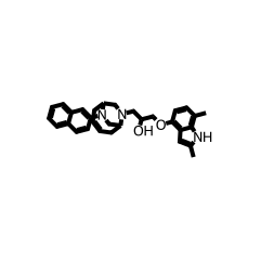 Cc1cc2c(OCC(O)CN3CC4CC=CCC3CN4c3ccc4ccccc4c3)ccc(C)c2[nH]1